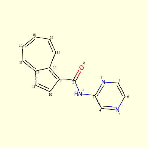 O=C(Nc1cnccn1)c1ccc2cccccc1-2